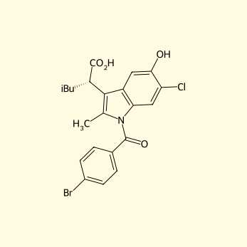 CCC(C)[C@H](C(=O)O)c1c(C)n(C(=O)c2ccc(Br)cc2)c2cc(Cl)c(O)cc12